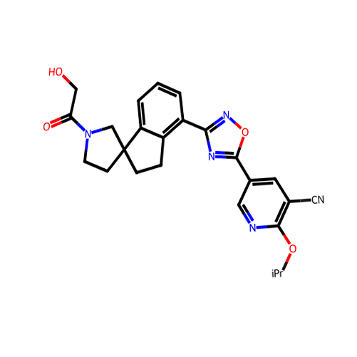 CC(C)Oc1ncc(-c2nc(-c3cccc4c3CCC43CCN(C(=O)CO)C3)no2)cc1C#N